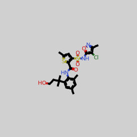 Cc1cc(C)c(NC(=O)c2sc(C)cc2S(=O)(=O)Nc2onc(C)c2Cl)c(C(C)(C)CCO)c1